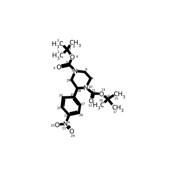 CC(C)(C)OC(=O)N1CCN(C(=O)OC(C)(C)C)C(c2ccc([N+](=O)[O-])cc2)C1